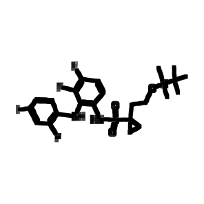 CC(C)(C)[Si](C)(C)OCCC1(S(=O)(=O)Nc2ccc(F)c(F)c2Nc2ccc(I)cc2F)CC1